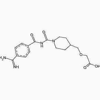 N=C(N)c1ccc(C(=O)NC(=O)N2CCC(COCC(=O)O)CC2)cc1